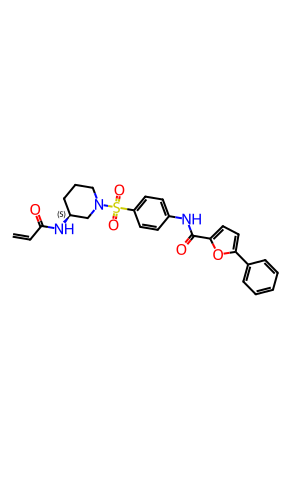 C=CC(=O)N[C@H]1CCCN(S(=O)(=O)c2ccc(NC(=O)c3ccc(-c4ccccc4)o3)cc2)C1